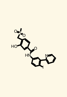 CS(=O)(=O)Cc1ccc(C(=O)Nc2ccc(I)c(-c3ccccn3)c2)cc1O